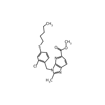 CCCCCSc1ccc(Cn2c(C)nc3ccc(C(=O)OC)nc32)c(Cl)c1